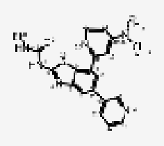 CCNC(=O)Nc1nc2cc(-c3cccnc3)cc(-c3cc(N(C)C)ccn3)c2s1